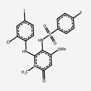 COc1cc(=O)n(C)c(Nc2ccc(I)cc2Cl)c1NS(=O)(=O)c1ccc(F)cc1